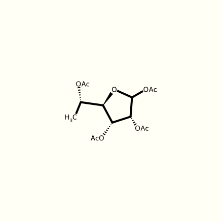 CC(=O)OC1O[C@H]([C@H](C)OC(C)=O)[C@@H](OC(C)=O)[C@H]1OC(C)=O